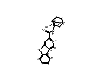 O=C(N[C@@H]1CN2CCC1CC2)c1cc2oc3ccccc3c2cn1